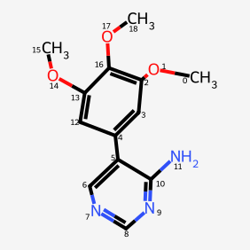 COc1cc(-c2cncnc2N)cc(OC)c1OC